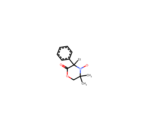 CCC1(c2ccccc2)C(=O)OCC(C)(C)N1[O]